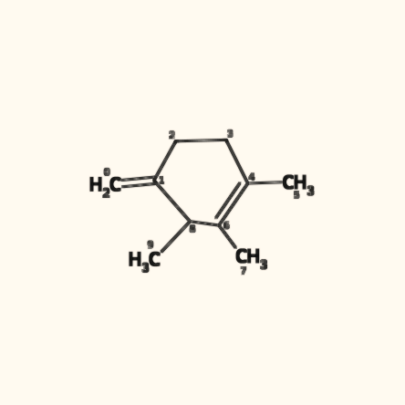 C=C1CCC(C)=C(C)C1C